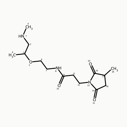 CNCC(C)OCCNC(=O)CCN1C(=O)CC(C)C1=O